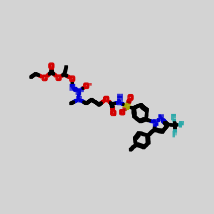 CCOC(=O)OC(C)O/N=[N+](\[O-])N(C)CCCOC(=O)NS(=O)(=O)c1ccc(-n2nc(C(F)(F)F)cc2-c2ccc(C)cc2)cc1